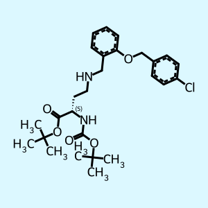 CC(C)(C)OC(=O)N[C@@H](CCNCc1ccccc1OCc1ccc(Cl)cc1)C(=O)OC(C)(C)C